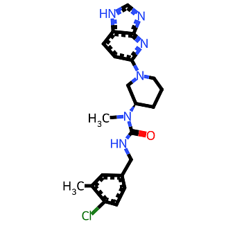 Cc1cc(CNC(=O)N(C)[C@@H]2CCCN(c3ccc4[nH]cnc4n3)C2)ccc1Cl